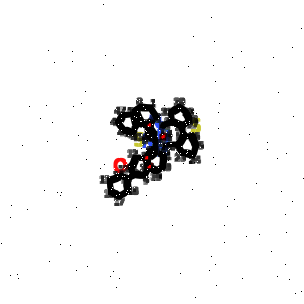 c1ccc(-c2nc(-c3ccc4c(c3)oc3ccccc34)nc(-c3cccc4sc5cccc(-c6nc(-c7ccccc7)c7sc8ccccc8c7n6)c5c34)n2)cc1